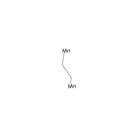 [Mn][CH2][CH2][Mn]